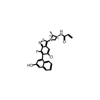 C=CC(=O)N[C@H]1CN(c2snc3c(F)c(-c4cc(O)cc5ccccc45)c(Cl)cc23)[C@H]1C